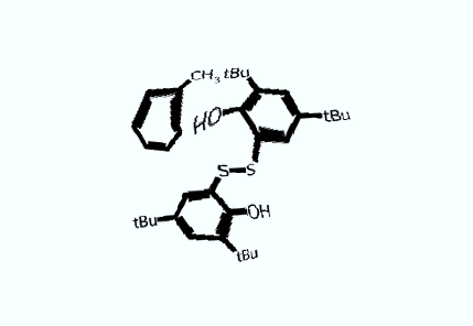 CC(C)(C)c1cc(SSc2cc(C(C)(C)C)cc(C(C)(C)C)c2O)c(O)c(C(C)(C)C)c1.Cc1ccccc1